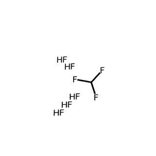 F.F.F.F.F.FC(F)F